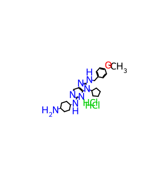 COc1ccc(CNc2nc3cnc(N[C@H]4CC[C@H](N)CC4)nc3n2C2CCCC2)cc1.Cl.Cl